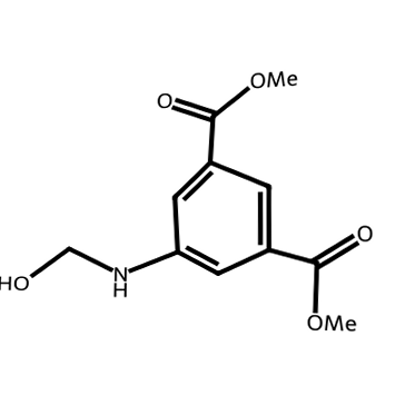 COC(=O)c1cc(NCO)cc(C(=O)OC)c1